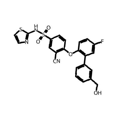 N#Cc1cc(S(=O)(=O)Nc2nccs2)ccc1Oc1ccc(F)cc1-c1cccc(CO)c1